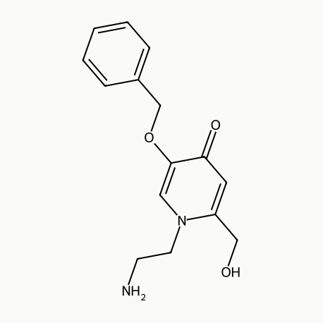 NCCn1cc(OCc2ccccc2)c(=O)cc1CO